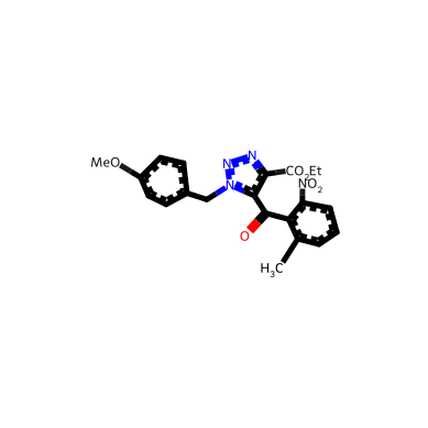 CCOC(=O)c1nnn(Cc2ccc(OC)cc2)c1C(=O)c1c(C)cccc1[N+](=O)[O-]